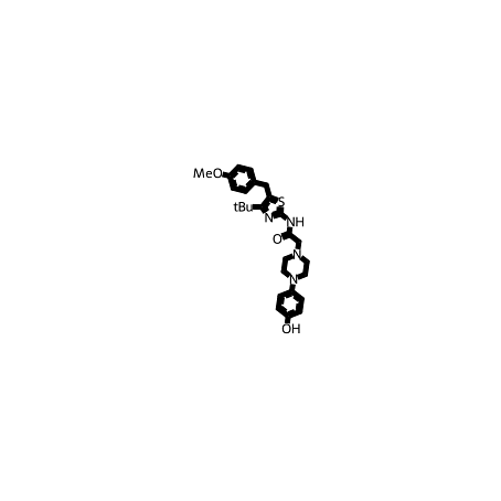 COc1ccc(Cc2sc(NC(=O)CN3CCN(c4ccc(O)cc4)CC3)nc2C(C)(C)C)cc1